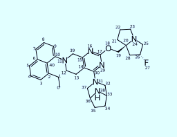 CCc1cccc2cccc(N3CCc4c(nc(OC[C@@]56CCCN5C[C@H](F)C6)nc4N4CC5CCC(C4)N5)C3)c12